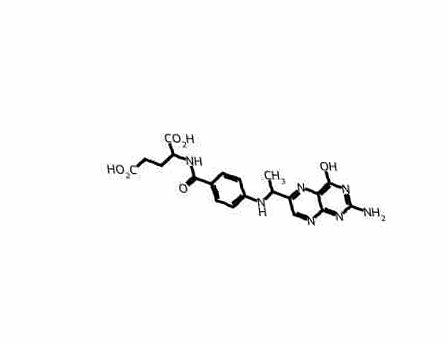 CC(Nc1ccc(C(=O)NC(CCC(=O)O)C(=O)O)cc1)c1cnc2nc(N)nc(O)c2n1